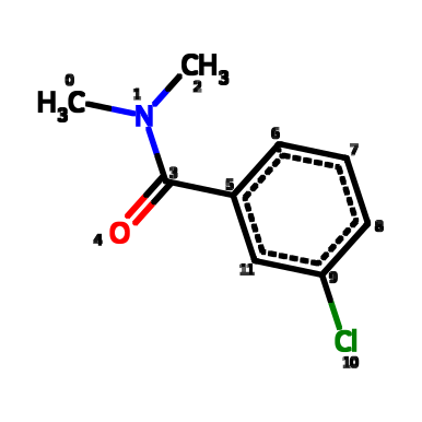 CN(C)C(=O)c1[c]ccc(Cl)c1